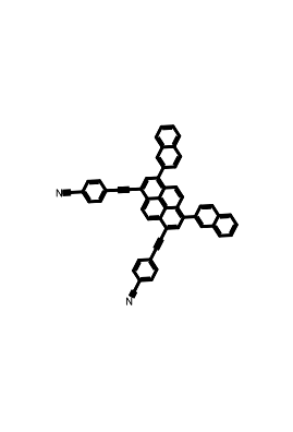 N#Cc1ccc(C#Cc2cc(-c3ccc4ccccc4c3)c3ccc4c(-c5ccc6ccccc6c5)cc(C#Cc5ccc(C#N)cc5)c5ccc2c3c54)cc1